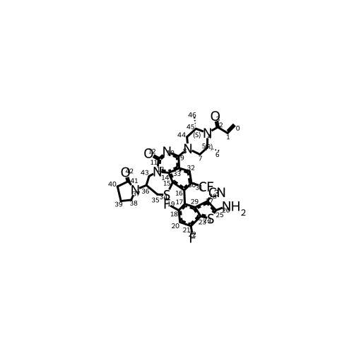 C=CC(=O)N1[C@H](C)CN(c2nc(=O)n3c4c(c(-c5c(F)cc(F)c6sc(N)c(C#N)c56)c(C(F)(F)F)cc24)SCC(N2CCCC2=O)C3)C[C@@H]1C